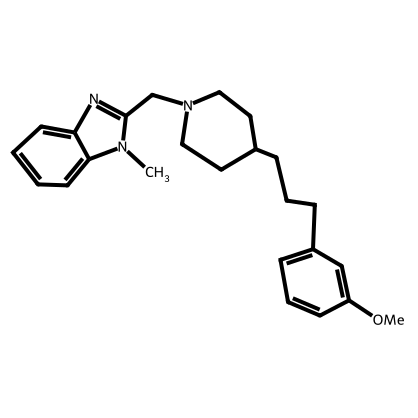 COc1cccc(CCCC2CCN(Cc3nc4ccccc4n3C)CC2)c1